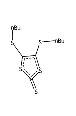 CCCCSc1sc(=S)sc1SCCCC